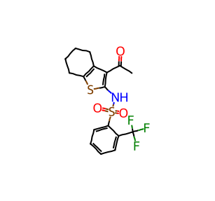 CC(=O)c1c(NS(=O)(=O)c2ccccc2C(F)(F)F)sc2c1CCCC2